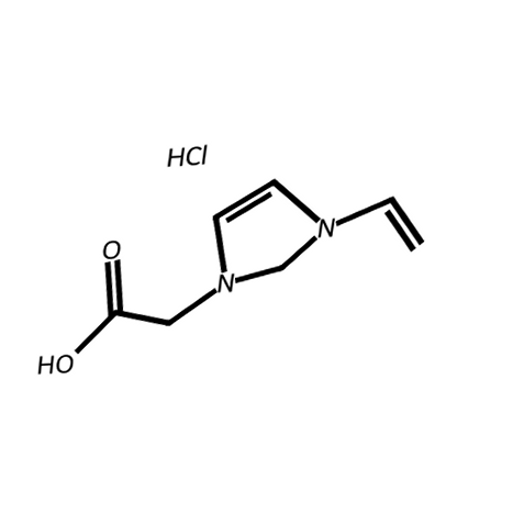 C=CN1C=CN(CC(=O)O)C1.Cl